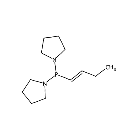 CCC=CP(N1CCCC1)N1CCCC1